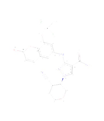 N#CC1CCOC[C@@H]1n1cc(C(N)=O)c(Nc2cc3c(c(OC(F)(F)F)c2)OB(O)C=C3)n1